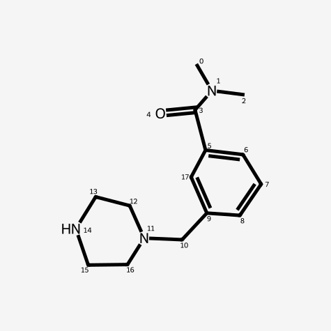 CN(C)C(=O)c1cccc(CN2CCNCC2)c1